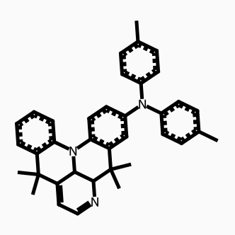 Cc1ccc(N(c2ccc(C)cc2)c2ccc3c(c2)C(C)(C)C2N=CC=C4C2N3c2ccccc2C4(C)C)cc1